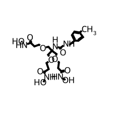 Cc1ccc(CNC(=O)NC(COCCC(=O)NO)(COCCC(=O)NO)COCCC(=O)NO)cc1